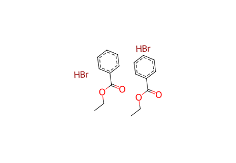 Br.Br.CCOC(=O)c1ccccc1.CCOC(=O)c1ccccc1